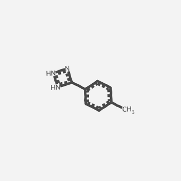 Cc1ccc(-c2n[nH][nH]2)cc1